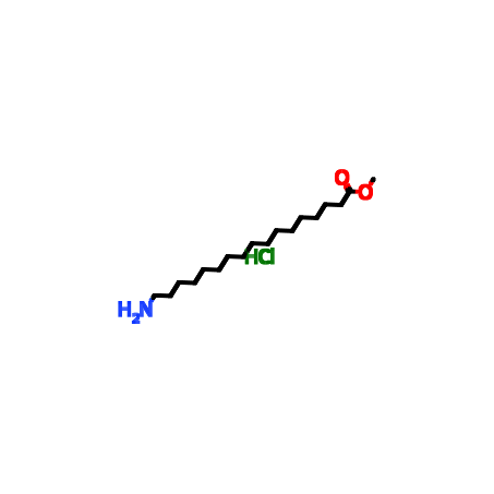 COC(=O)CCCCCCCCCCCCCCCCN.Cl